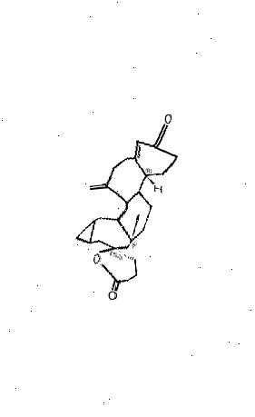 C=C1CC2=CC(=O)CC[C@@H]2C2CC[C@@]3(C)C(C4CC4[C@@]34CCC(=O)O4)C12